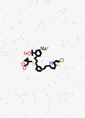 CC(C)(O)c1ccccc1CCC(SCC1(CC(=O)[O-])CC1)c1cccc(/C=C/c2ccc3sc(Cl)cc3n2)c1.[Na+]